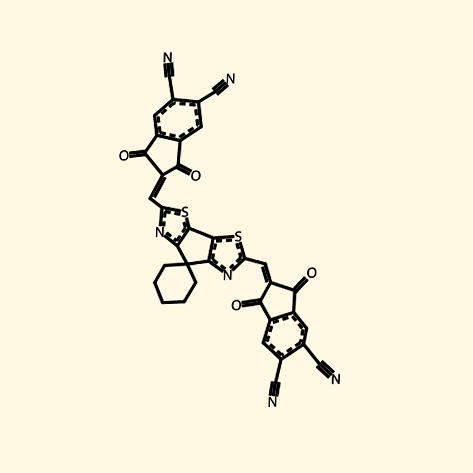 N#Cc1cc2c(cc1C#N)C(=O)C(=Cc1nc3c(s1)-c1sc(C=C4C(=O)c5cc(C#N)c(C#N)cc5C4=O)nc1C31CCCCC1)C2=O